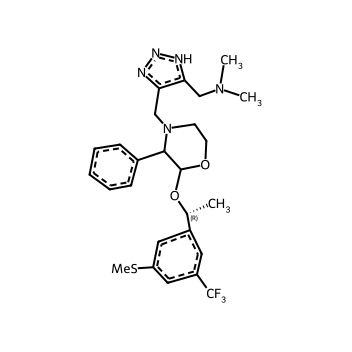 CSc1cc([C@@H](C)OC2OCCN(Cc3nn[nH]c3CN(C)C)C2c2ccccc2)cc(C(F)(F)F)c1